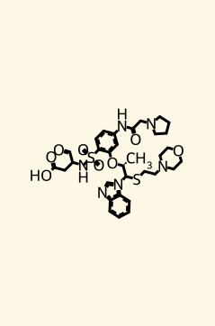 C[C@@H](Oc1cc(NC(=O)CN2CCCC2)ccc1S(=O)(=O)NC(C=O)CC(=O)O)C(SCCN1CCOCC1)n1cnc2ccccc21